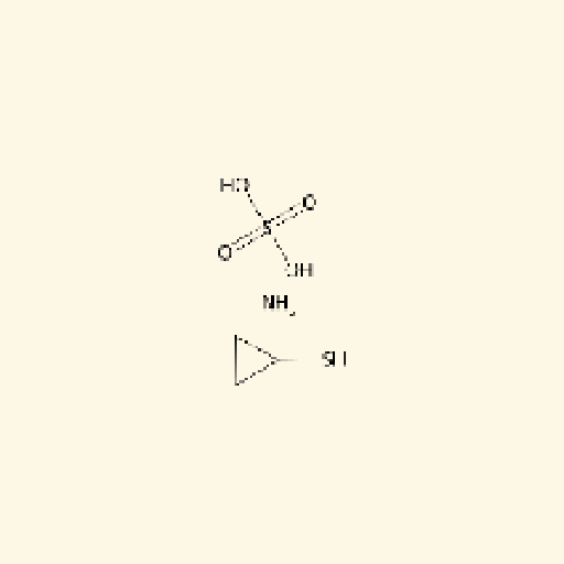 N.O=S(=O)(O)O.SC1CC1